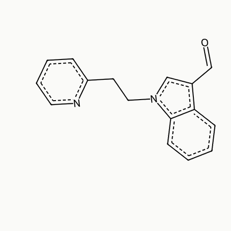 O=Cc1cn(CCc2ccccn2)c2ccccc12